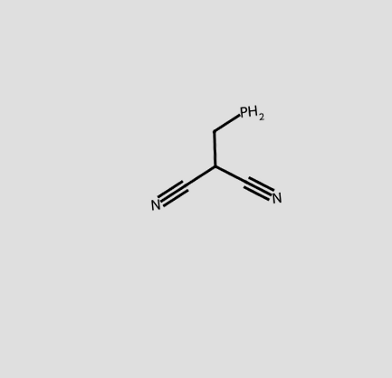 N#CC(C#N)CP